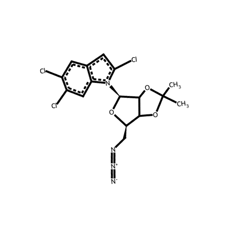 CC1(C)OC2C(O1)[C@@H](CN=[N+]=[N-])O[C@H]2n1c(Cl)cc2cc(Cl)c(Cl)cc21